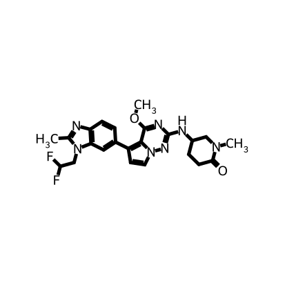 COc1nc(NC2CCC(=O)N(C)C2)nn2ccc(-c3ccc4nc(C)n(CC(F)F)c4c3)c12